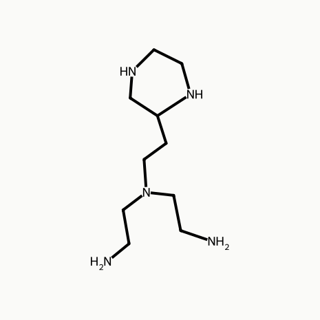 NCCN(CCN)CCC1CNCCN1